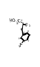 O=C(O)[C@@H](F)Cc1cccc(F)c1